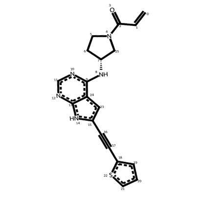 C=CC(=O)N1CC[C@@H](Nc2ncnc3[nH]c(C#Cc4cccs4)cc23)C1